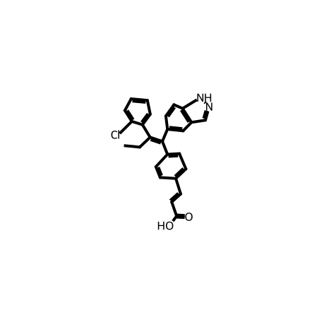 CC/C(=C(\c1ccc(C=CC(=O)O)cc1)c1ccc2[nH]ncc2c1)c1ccccc1Cl